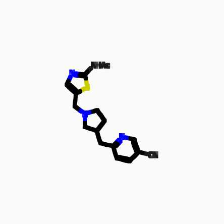 CC(=O)Nc1ncc(CN2CCC(Cc3ccc(C#N)cn3)C2)s1